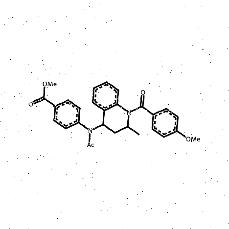 COC(=O)c1ccc(N(C(C)=O)C2CC(C)N(C(=O)c3ccc(OC)cc3)c3ccccc32)cc1